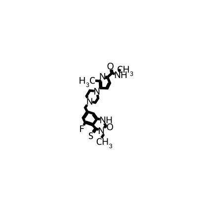 CCn1c(=O)[nH]c2cc(CN3CCN(c4ccc(C(=O)NC)nc4C)CC3)cc(F)c2c1=S